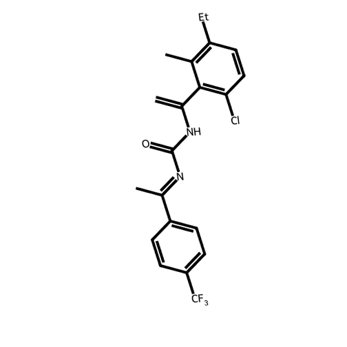 C=C(NC(=O)/N=C(\C)c1ccc(C(F)(F)F)cc1)c1c(Cl)ccc(CC)c1C